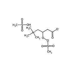 CS(=O)(=O)O.C[N+](C)(C)CC(CC(=O)[O-])OOS(C)(=O)=O